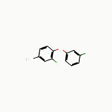 O=Cc1ccc(Oc2cccc(Cl)c2)c(F)c1